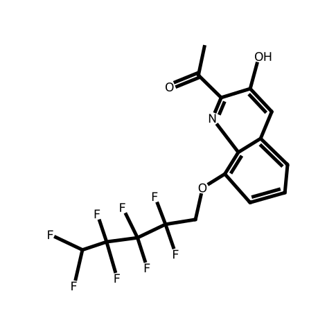 CC(=O)c1nc2c(OCC(F)(F)C(F)(F)C(F)(F)C(F)F)cccc2cc1O